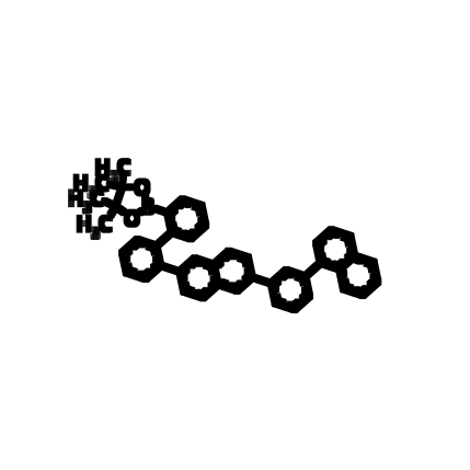 CC1(C)OB(c2ccccc2-c2ccccc2-c2ccc3cc(-c4cccc(-c5cccc6ccccc56)c4)ccc3c2)OC1(C)C